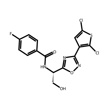 O=C(N[C@@H](CO)c1nc(-c2cc(Cl)sc2Cl)no1)c1ccc(F)cc1